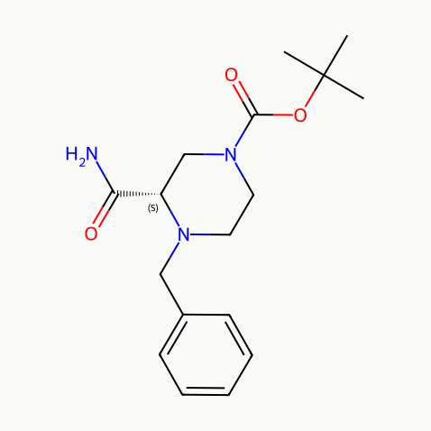 CC(C)(C)OC(=O)N1CCN(Cc2ccccc2)[C@H](C(N)=O)C1